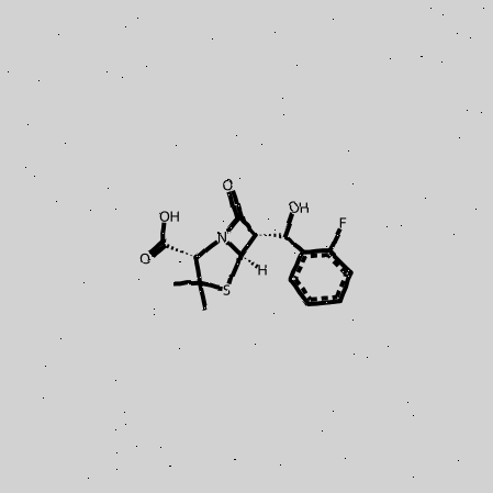 CC1(C)S[C@@H]2[C@@H](C(O)c3ccccc3F)C(=O)N2[C@H]1C(=O)O